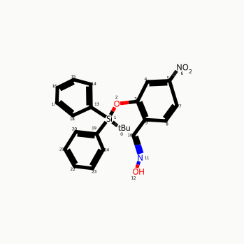 CC(C)(C)[Si](Oc1cc([N+](=O)[O-])ccc1C=NO)(c1ccccc1)c1ccccc1